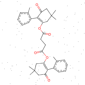 Cc1ccccc1C1=C(OC(=O)CCC(=O)OC2=C(c3ccccc3C)C(=O)CC(C)(C)C2)CC(C)(C)CC1=O